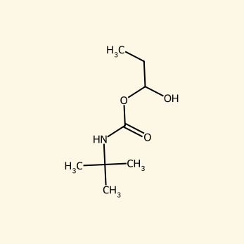 CCC(O)OC(=O)NC(C)(C)C